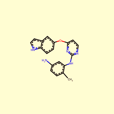 Cc1ccc(N)cc1Nc1nccc(Oc2ccc3[nH]ccc3c2)n1